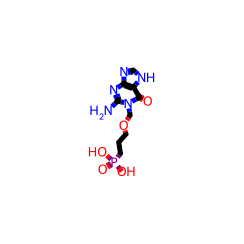 Nc1nc2nc[nH]c2c(=O)n1COCCCP(=O)(O)O